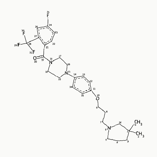 CC1(C)CCCN(CCCOc2ccc(N3CCN(C(=O)c4ccc(F)cc4C(F)(F)F)CC3)cc2)C1